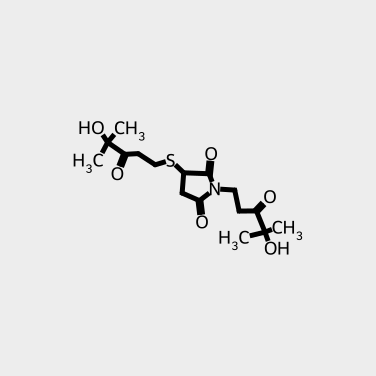 CC(C)(O)C(=O)CCSC1CC(=O)N(CCC(=O)C(C)(C)O)C1=O